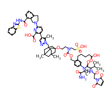 Cc1c(-c2ccc(N3CCc4cccc(C(=O)Nc5nc6ccccc6s5)c4C3)nc2C(=O)O)cnn1CC12CC3(C)CC(C)(C1)CC(OCCN(CCS(=O)(=O)O)C(=O)OCc1ccc(N(C(=O)[C@@H](NC(=O)CN4C(=O)C=CC4=O)C(C)C)[C@@H](C)C(N)=O)cc1CCCCC(=O)O)(C3)C2